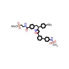 COS(=O)(=O)CCNC(=O)c1ccc(CC(c2ccc(C(C)(C)C)cc2)c2cc(-c3cccc(-c4ccc(NS(C)(=O)=O)cc4)c3)on2)cc1